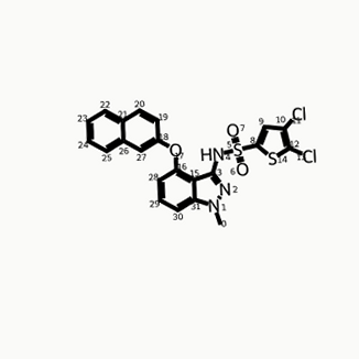 Cn1nc(NS(=O)(=O)c2cc(Cl)c(Cl)s2)c2c(Oc3ccc4ccccc4c3)cccc21